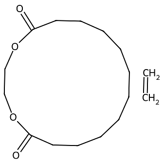 C=C.O=C1CCCCCCCCCCC(=O)OCCO1